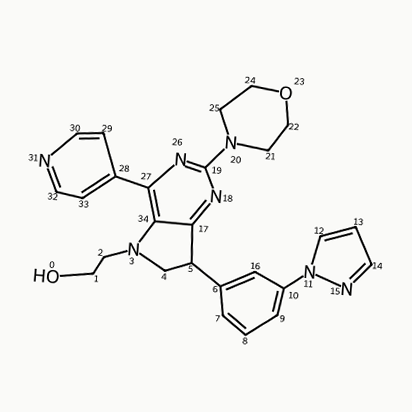 OCCN1CC(c2cccc(-n3cccn3)c2)c2nc(N3CCOCC3)nc(-c3ccncc3)c21